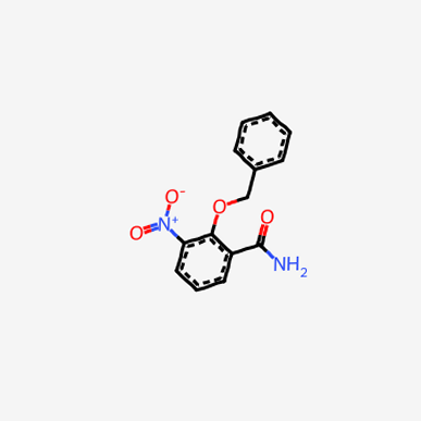 NC(=O)c1cccc([N+](=O)[O-])c1OCc1ccccc1